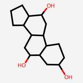 OC1CCC2C(C1)C(O)CC1C3CCCC3C(O)CC21